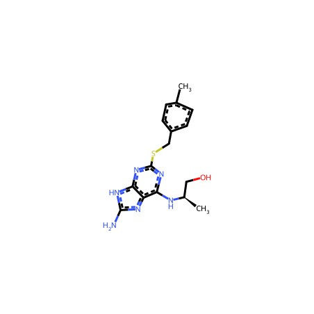 Cc1ccc(CSc2nc(N[C@H](C)CO)c3nc(N)[nH]c3n2)cc1